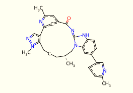 Cc1ccc(-c2ccc3c(c2)N2C[C@H](C)CCCc4c(cnn4C)-c4cc(cc(C)n4)C(=O)N=C2N3)cn1